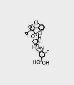 O=C(O[C@H]1C[C@@H]2C[C@H]1CN2c1nc2c(F)cc(C(O)O)cc2s1)c1c(-c2c(Cl)cccc2Cl)noc1C1CC1